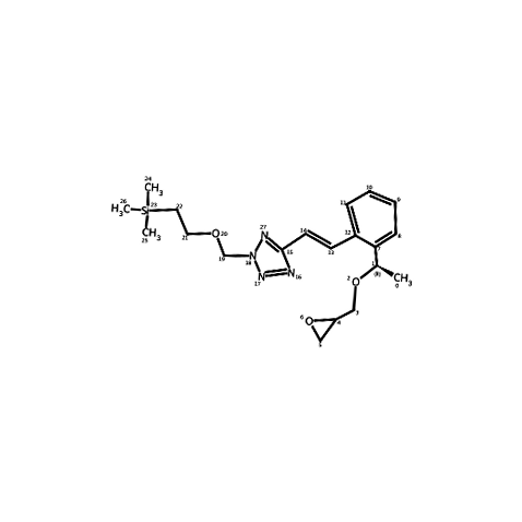 C[C@@H](OCC1CO1)c1ccccc1C=Cc1nnn(COCC[Si](C)(C)C)n1